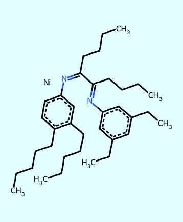 CCCCCc1ccc(N=C(CCCC)C(CCCC)=Nc2cc(CC)cc(CC)c2)cc1CCCCC.[Ni]